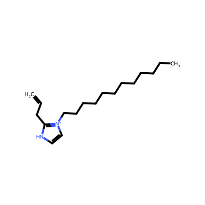 C=CCc1[nH]cc[n+]1CCCCCCCCCCCC